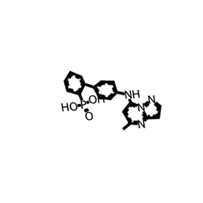 Cc1cc(Nc2ccc(-c3ccccc3P(=O)(O)O)cc2)n2nccc2n1